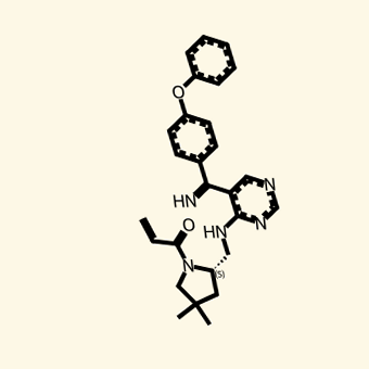 C=CC(=O)N1CC(C)(C)C[C@H]1CNc1ncncc1C(=N)c1ccc(Oc2ccccc2)cc1